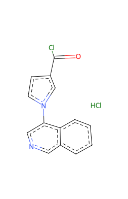 Cl.O=C(Cl)c1ccn(-c2cncc3ccccc23)c1